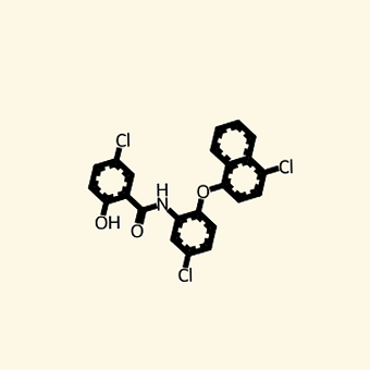 O=C(Nc1cc(Cl)ccc1Oc1ccc(Cl)c2ccccc12)c1cc(Cl)ccc1O